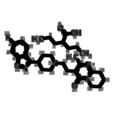 CCCC(CCC)C(=O)O.Cc1nc2n(c(=O)c1CCN1CCC(c3noc4cc(F)ccc34)CC1)CCCC2